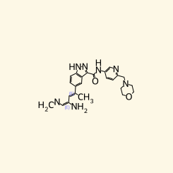 C=N/C=C(N)\C=C(/C)c1ccc2[nH]nc(C(=O)Nc3ccc(CN4CCOCC4)nc3)c2c1